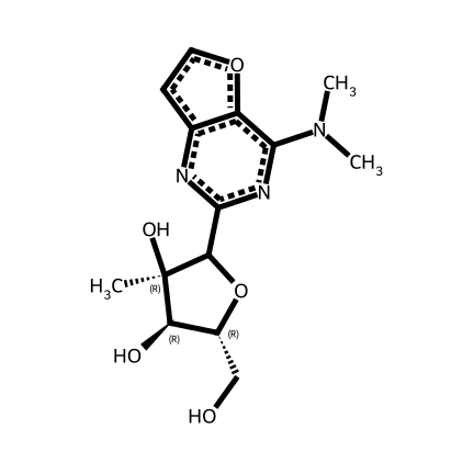 CN(C)c1nc(C2O[C@H](CO)[C@@H](O)[C@@]2(C)O)nc2ccoc12